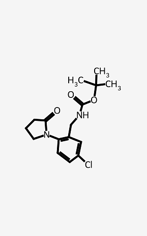 CC(C)(C)OC(=O)NCc1cc(Cl)ccc1N1CCCC1=O